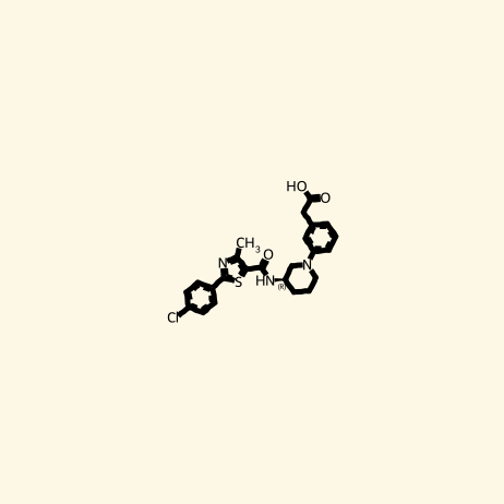 Cc1nc(-c2ccc(Cl)cc2)sc1C(=O)N[C@@H]1CCCN(c2cccc(CC(=O)O)c2)C1